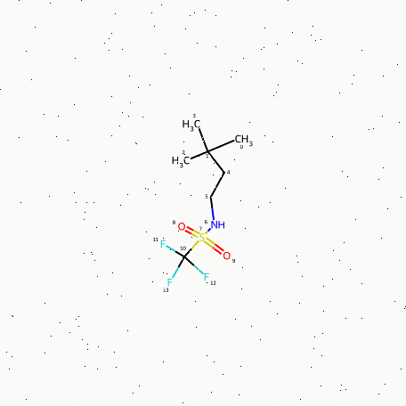 CC(C)(C)CCNS(=O)(=O)C(F)(F)F